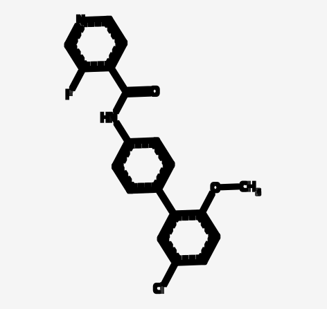 COc1ccc(Cl)cc1-c1ccc(NC(=O)c2ccncc2F)cc1